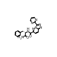 NC(=O)[C@H](Cc1ccccc1)NC(=O)c1ccc2nnc(-c3ncccn3)n2n1